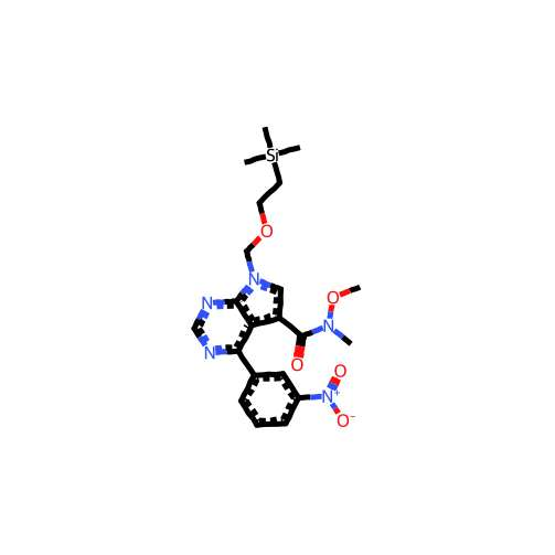 CON(C)C(=O)c1cn(COCC[Si](C)(C)C)c2ncnc(-c3cccc([N+](=O)[O-])c3)c12